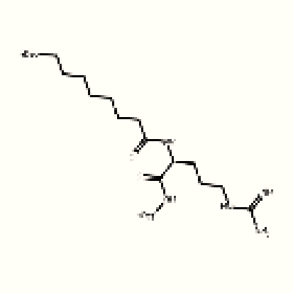 CCCCCCCCCCCCCCCCCC(=O)N[C@@H](CCCNC(=N)N)C(=O)NCCCCCCCC